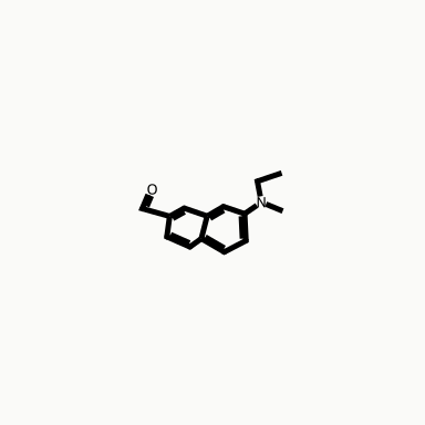 CCN(C)c1ccc2ccc(C=O)cc2c1